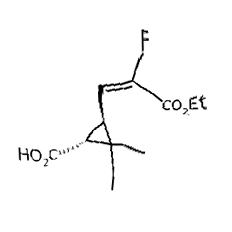 CCOC(=O)/C(F)=C\[C@@H]1[C@@H](C(=O)O)C1(C)C